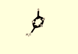 Cc1nnc([S])s1